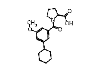 COc1cc(C(=O)N2CCCC2C(=O)O)cc(C2CCCCC2)c1